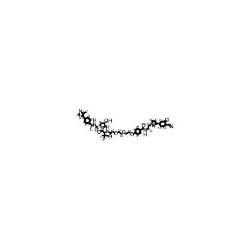 Cc1ncsc1-c1ccc([C@H](C)NC(=O)[C@@H]2C[C@@H](O)CN2C(=O)[C@@H](NC(=O)COCCOCCOc2ccc(C(=O)N[C@@H](C)Cn3ccc(-c4ccc(C#N)c(Cl)c4)n3)cc2)C(C)(C)C)cc1